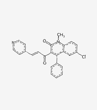 Cn1c(=O)c(C(=O)/C=C/c2ccncc2)c(-c2ccccc2)c2cc(Cl)ccc21